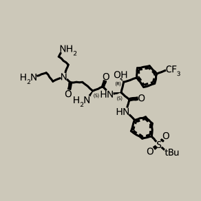 CC(C)(C)S(=O)(=O)c1ccc(NC(=O)[C@@H](NC(=O)[C@@H](N)CC(=O)N(CCN)CCN)[C@H](O)c2ccc(C(F)(F)F)cc2)cc1